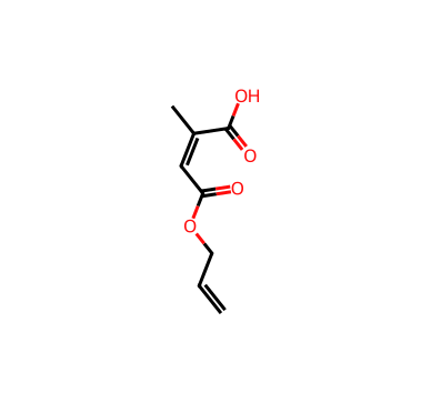 C=CCOC(=O)/C=C(/C)C(=O)O